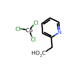 O=C(O)Cc1ccccn1.[Cl][Co]([Cl])[Cl]